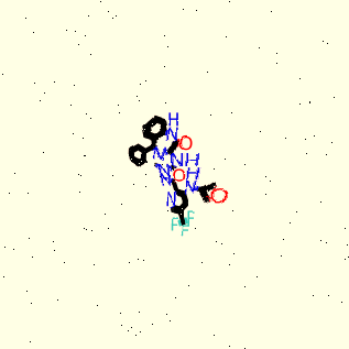 CN1N=C(c2ncc(C(F)(F)F)cc2NC2COC2)OC1N[C@H]1N=C(c2ccccc2)c2ccccc2NC1=O